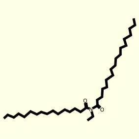 CCCCCCCCCCCCCCCCCC(=O)N(CC)C(=O)CCCCCCCCCCCCCCC